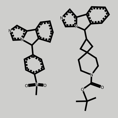 CC(C)(C)OC(=O)N1CCC2(CC1)CC(C1c3ccccc3-c3cncn31)C2.CS(=O)(=O)c1ccc(C2c3ccccc3-c3cncn32)cc1